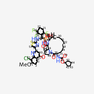 COc1ccc2c(O[C@@H]3C[C@H]4C(=O)N[C@]5(P(=O)(O)Cc6c(F)ccc(F)c6F)C[C@H]5CCCCCCC[C@H](NC(=O)OC5CCCC5)C(=O)N4C3)cc(-c3csc(NC(C)C)n3)nc2c1Cl